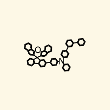 c1ccc(-c2cccc(-c3ccc(N(c4ccccc4)c4ccc(-c5ccc6c(c5)C5(c7ccccc7-6)c6ccc7ccccc7c6Oc6c5ccc5ccccc65)cc4)cc3)c2)cc1